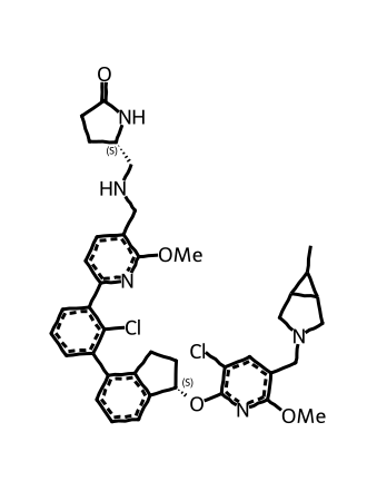 COc1nc(-c2cccc(-c3cccc4c3CC[C@@H]4Oc3nc(OC)c(CN4CC5C(C)C5C4)cc3Cl)c2Cl)ccc1CNC[C@@H]1CCC(=O)N1